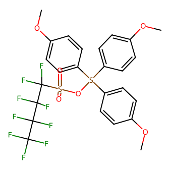 COc1ccc(S(OS(=O)(=O)C(F)(F)C(F)(F)C(F)(F)C(F)(F)F)(c2ccc(OC)cc2)c2ccc(OC)cc2)cc1